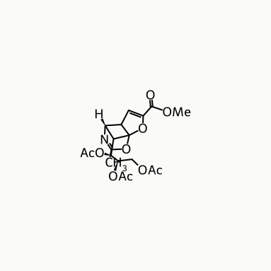 COC(=O)C1=CC2[C@H]3N=C(C)OC2(O1)C3[C@H](OC(C)=O)[C@@H](COC(C)=O)OC(C)=O